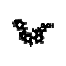 Cc1nn(CC(=O)O)c2cccc(-c3cc4c(cnn4CC4CCN(C)CC4)cc3F)c12